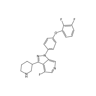 Fc1cccc(Oc2ccc(-n3nc(C4CCCNC4)c4c(F)cncc43)cc2)c1F